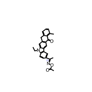 CCn1c2ccc(/C(C)=N/OC(C)=O)cc2c2cc3c(cc21)Cc1cccc(C)c1C3=O